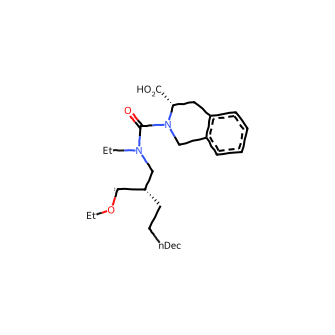 CCCCCCCCCCCC[C@H]([C]OCC)CN(CC)C(=O)N1Cc2ccccc2C[C@H]1C(=O)O